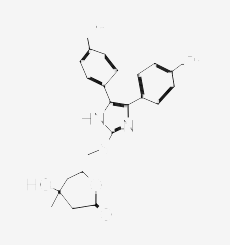 CC(C)c1ccc(-c2nc(SC[C@H]3CC(C)(O)CC(=O)O3)[nH]c2-c2ccc(C(C)C)cc2)cc1